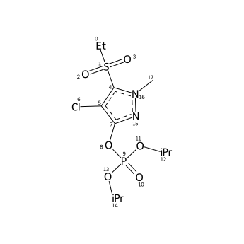 CCS(=O)(=O)c1c(Cl)c(OP(=O)(OC(C)C)OC(C)C)nn1C